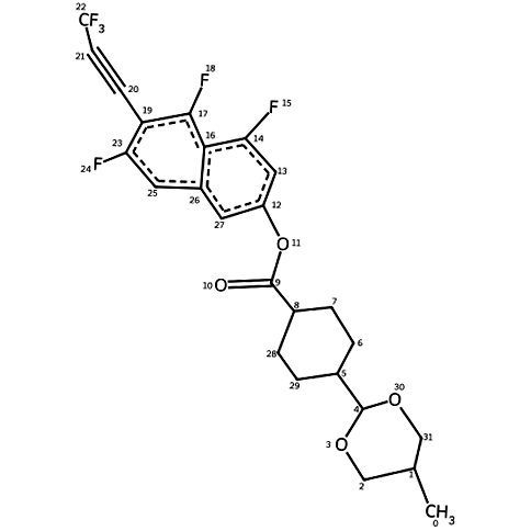 CC1COC(C2CCC(C(=O)Oc3cc(F)c4c(F)c(C#CC(F)(F)F)c(F)cc4c3)CC2)OC1